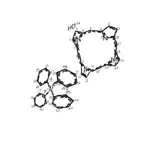 C1=Cc2cc3ccc(cc4nc(cc5ccc(cc1n2)[nH]5)C=C4)[nH]3.Cl.c1cc[c]([Al-]([c]2ccccc2)([c]2ccccc2)[c]2ccccc2)cc1